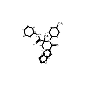 CC1CCC(N2C(=O)c3cc4occc4n3CC2(C)C(=O)NC2CCCCC2)CC1